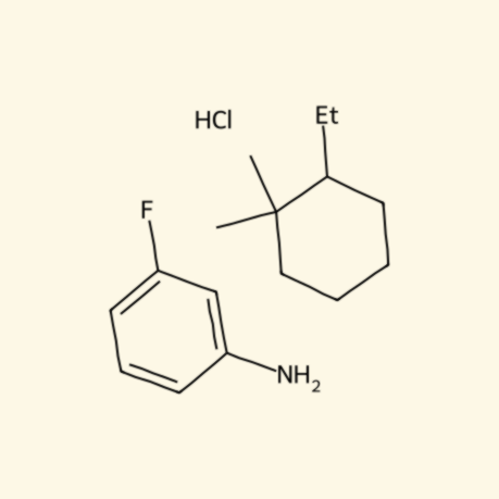 CCC1CCCCC1(C)C.Cl.Nc1cccc(F)c1